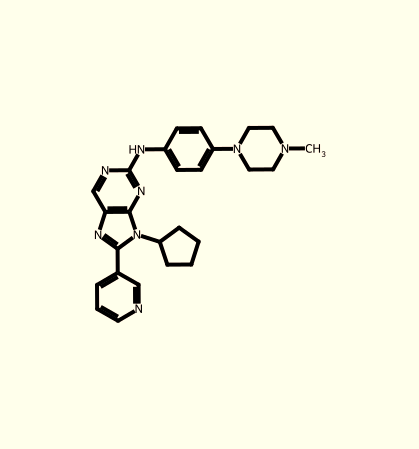 CN1CCN(c2ccc(Nc3ncc4nc(-c5cccnc5)n(C5CCCC5)c4n3)cc2)CC1